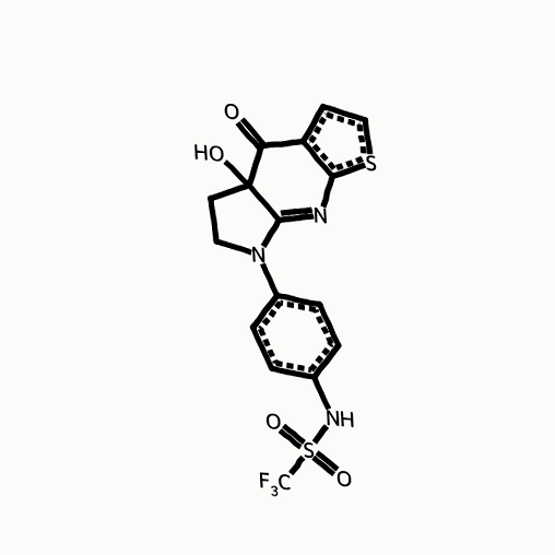 O=C1c2ccsc2N=C2N(c3ccc(NS(=O)(=O)C(F)(F)F)cc3)CCC12O